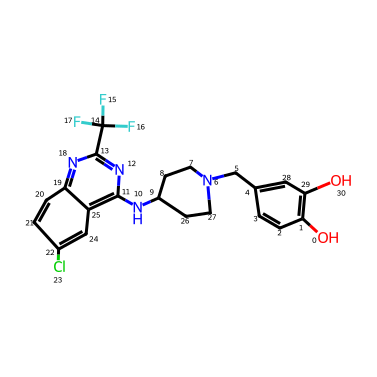 Oc1ccc(CN2CCC(Nc3nc(C(F)(F)F)nc4ccc(Cl)cc34)CC2)cc1O